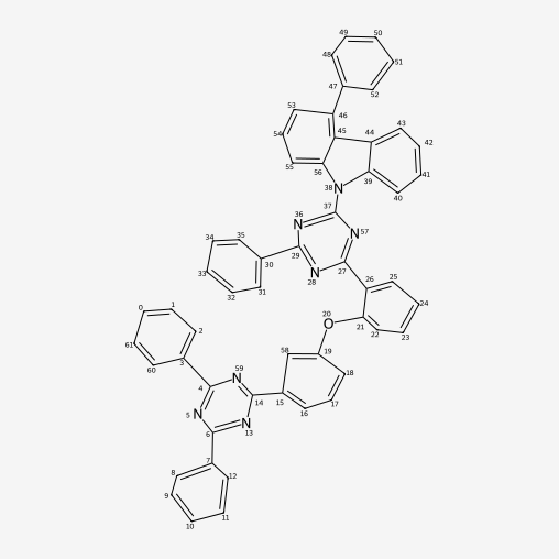 c1ccc(-c2nc(-c3ccccc3)nc(-c3cccc(Oc4ccccc4-c4nc(-c5ccccc5)nc(-n5c6ccccc6c6c(-c7ccccc7)cccc65)n4)c3)n2)cc1